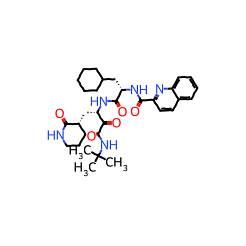 CC(C)(C)NC(=O)C(=O)[C@H](C[C@@H]1CCCNC1=O)NC(=O)[C@H](CC1CCCCC1)NC(=O)c1ccc2ccccc2n1